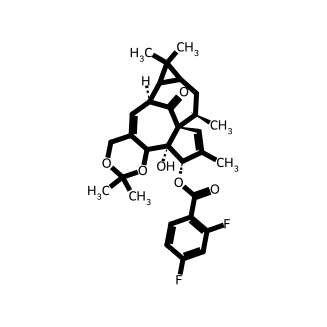 CC1=C[C@]23C(=O)[C@@H](C=C4COC(C)(C)OC4[C@]2(O)[C@H]1OC(=O)c1ccc(F)cc1F)C1C(C[C@H]3C)C1(C)C